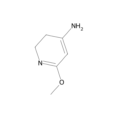 COC1=NCCC(N)=C1